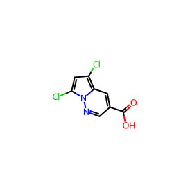 O=C(O)c1cnn2c(Cl)cc(Cl)c2c1